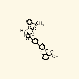 Cc1noc(-c2ccc(-c3ccc(Oc4c(F)cccc4C(=O)O)cc3)cc2)c1NC(=O)O[C@H](C)c1ccccc1